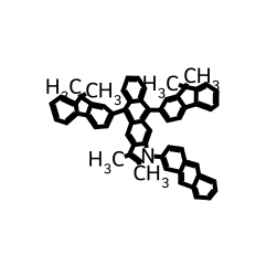 Cc1c(C)n(-c2ccc3cc4ccccc4cc3c2)c2cc3c(-c4ccc5c(c4)C(C)(C)c4ccccc4-5)c4ccccc4c(-c4ccc5c(c4)C(C)(C)c4ccccc4-5)c3cc12